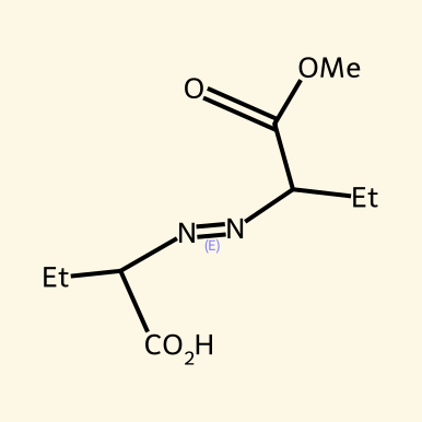 CCC(/N=N/C(CC)C(=O)OC)C(=O)O